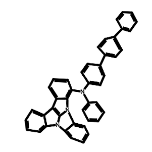 c1ccc(-c2ccc(-c3ccc(N(c4ccccc4)c4cccc5c6c7ccccc7n7c8ccccc8n(c45)c67)cc3)cc2)cc1